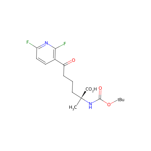 CC(C)(C)OC(=O)N[C@](C)(CCCC(=O)c1ccc(F)nc1F)C(=O)O